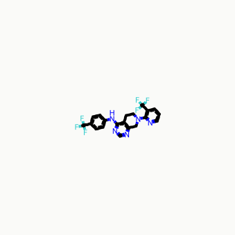 FC(F)(F)c1ccc(Nc2ncnc3c2CCN(c2ncccc2C(F)(F)F)C3)cc1